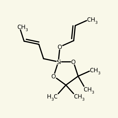 CC=CC[Si]1(OC=CC)OC(C)(C)C(C)(C)O1